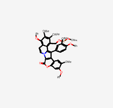 COOSOCc1c(OC)c(OC)c(OC(C)C)c2ccn3c(c(-c4ccc(OC(C)C)c(OC)c4)c4c5cc(OC)c(OC(C)C)cc5oc(=O)c43)c12